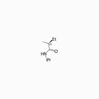 CC[C@H](C)C(=O)NC(C)C